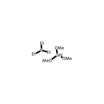 CCN(CC)CC.CO[SiH](OC)OC